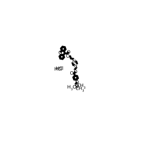 C[Si](C)(C)COc1ccc(C(=O)OCCN2CCN(CCCOC(=O)C3c4ccccc4Oc4ccccc43)CC2)cc1.Cl.Cl